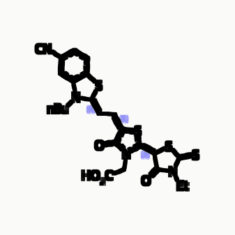 [C-]#[N+]c1ccc2c(c1)N(CCCC)/C(=C/C=c1/s/c(=C3\SC(=S)N(CC)C3=O)n(CC(=O)O)c1=O)S2